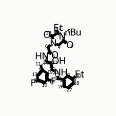 CCCCN1C(=O)CN(CC(=O)N[C@@H](Cc2cc(F)cc(F)c2)[C@@H](O)CNCc2cccc(CC)c2)C(=O)[C@H]1CC